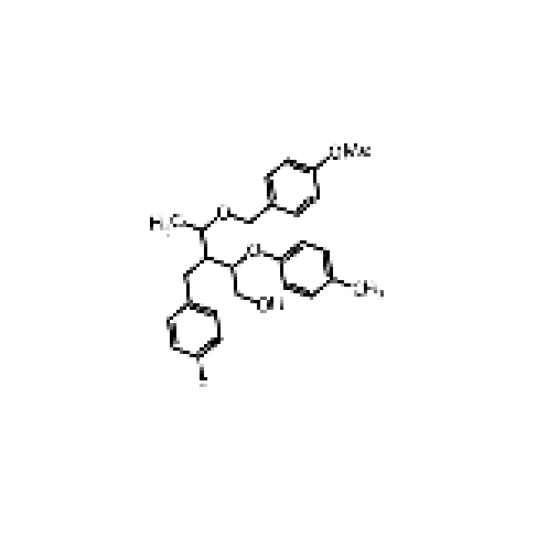 COc1ccc(COC(C)C(Cc2ccc(F)cc2)C(CO)Oc2ccc(C)cc2)cc1